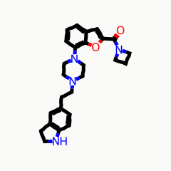 O=C(c1cc2cccc(N3CCN(CCc4ccc5c(c4)CCN5)CC3)c2o1)N1CCC1